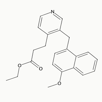 CCOC(=O)CCc1ccncc1Cc1ccc(OC)c2ccccc12